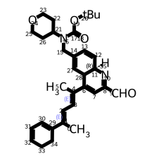 C/C(=C\C=C(/C)C1=CC(C=O)=N[C@@H]2C=CC(CN(C(=O)OC(C)(C)C)C3CCOCC3)=CC12)C1=CC=CCC1